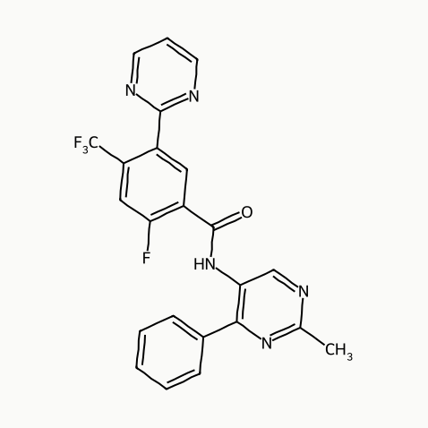 Cc1ncc(NC(=O)c2cc(-c3ncccn3)c(C(F)(F)F)cc2F)c(-c2ccccc2)n1